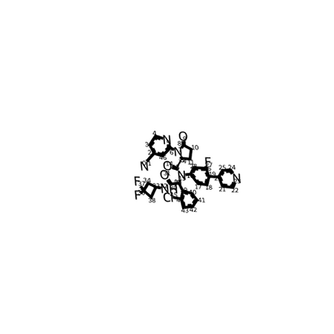 N#Cc1ccnc(N2C(=O)CC[C@H]2C(=O)N(c2ccc(-c3ccncc3)c(F)c2)[C@H](C(=O)NC2CC(F)(F)C2)c2ccccc2Cl)c1